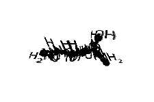 CN[C@@H](Cc1ccc(OC(=O)CC[C@H](NC(=O)[C@H](Cc2ccc(O)cc2)NC(C)=O)C(=O)N(C)[C@@H](Cc2ccccc2)C(N)=O)cc1)C(=O)NC(=N)NCCC[C@H](NC)C(=O)N[C@@H](Cc1ccccc1)C(N)=O